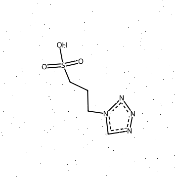 O=S(=O)(O)CCCn1[c]nnn1